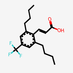 CCCCc1cc(C(F)(F)F)cc(CCCC)c1C=CC(=O)O